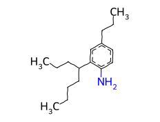 CCCCC(CCC)c1cc(CCC)ccc1N